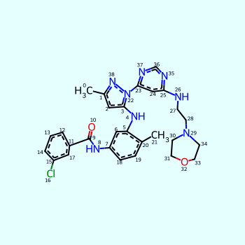 Cc1cc(Nc2cc(NC(=O)c3cccc(Cl)c3)ccc2C)n(-c2cc(NCCN3CCOCC3)ncn2)n1